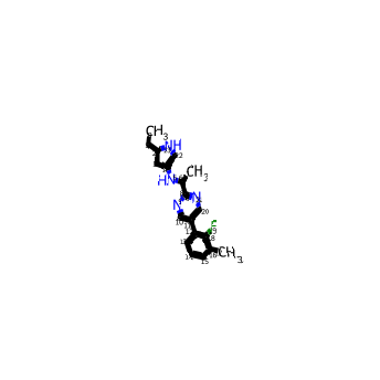 CCC1CC(NC(C)c2ncc(-c3cccc(C)c3F)cn2)=CN1